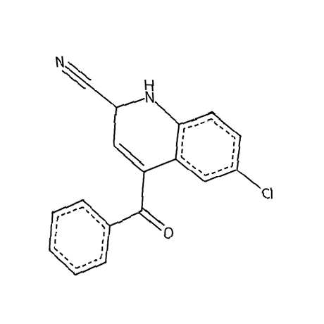 N#CC1C=C(C(=O)c2ccccc2)c2cc(Cl)ccc2N1